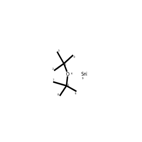 CC(C)(C)OC(C)(C)C.[Sn]